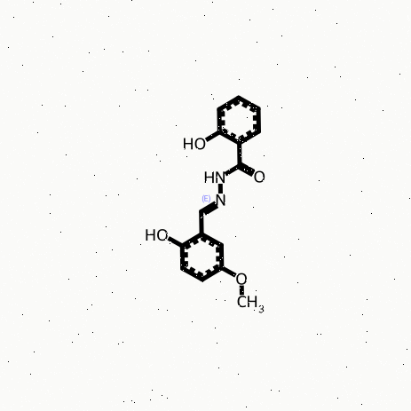 COc1ccc(O)c(/C=N/NC(=O)c2ccccc2O)c1